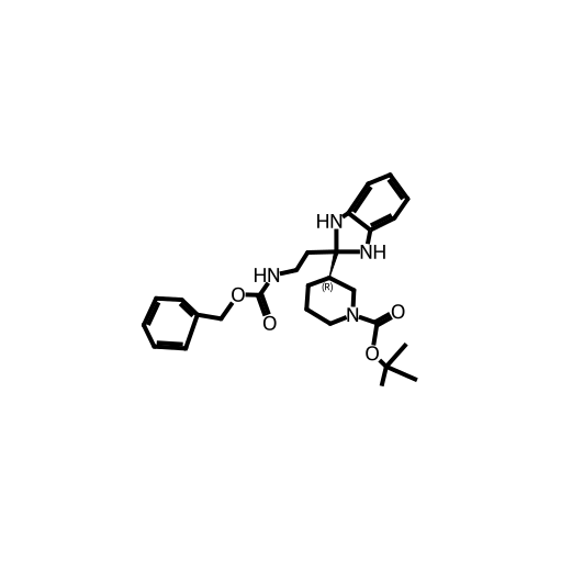 CC(C)(C)OC(=O)N1CCC[C@@H](C2(CCNC(=O)OCc3ccccc3)Nc3ccccc3N2)C1